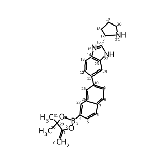 C=C1OB(c2ccc3ccc(-c4ccc5nc([C@@H]6CCCN6)[nH]c5c4)cc3c2)OC1(C)C